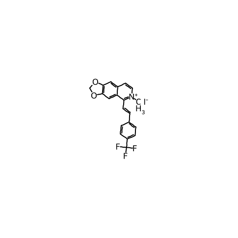 C[n+]1ccc2cc3c(cc2c1C=Cc1ccc(C(F)(F)F)cc1)OCO3.[I-]